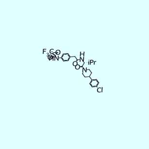 CC(C)[C@@H](NC(=O)Cc1ccc(NS(=O)(=O)C(F)(F)F)cc1)C(=O)N1CCC(c2ccc(Cl)cc2)CC1